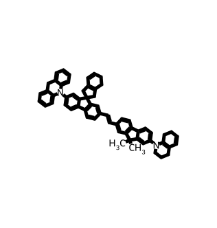 CC1(C)c2cc(/C=C/c3ccc4c(c3)C3(CC5=C(CCC=C5)C3)c3cc(N5c6ccccc6Cc6ccccc65)ccc3-4)ccc2-c2ccc(N3CCCC4=C3CCC=C4)cc21